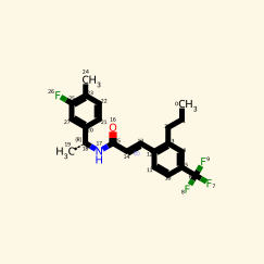 CCCc1cc(C(F)(F)F)ccc1/C=C/C(=O)N[C@H](C)c1ccc(C)c(F)c1